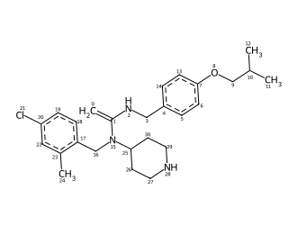 C=C(NCc1ccc(OCC(C)C)cc1)N(Cc1ccc(Cl)cc1C)C1CCNCC1